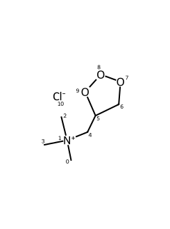 C[N+](C)(C)CC1COOO1.[Cl-]